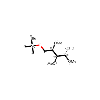 CO[C@H]([C@H](C=O)OC)[C@@H](CO[Si](C)(C)C(C)(C)C)OC